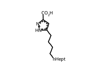 CCCCCCCCCCCc1cc(C(=O)O)n[nH]1